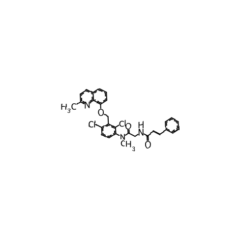 Cc1ccc2cccc(OCc3c(Cl)ccc(N(C)C(=O)CNC(=O)CCc4ccccc4)c3Cl)c2n1